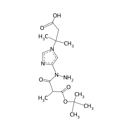 CC(C(=O)OC(C)(C)C)C(=O)N(N)c1cn(C(C)(C)CC(=O)O)cn1